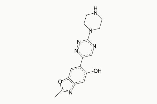 Cc1nc2cc(O)c(-c3cnc(N4CCNCC4)nn3)cc2o1